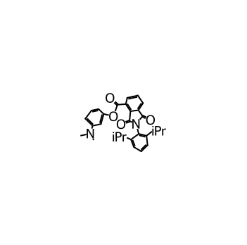 CC(C)c1cccc(C(C)C)c1N1C(=O)c2cccc(C(=O)Oc3cccc(N(C)C)c3)c2C1=O